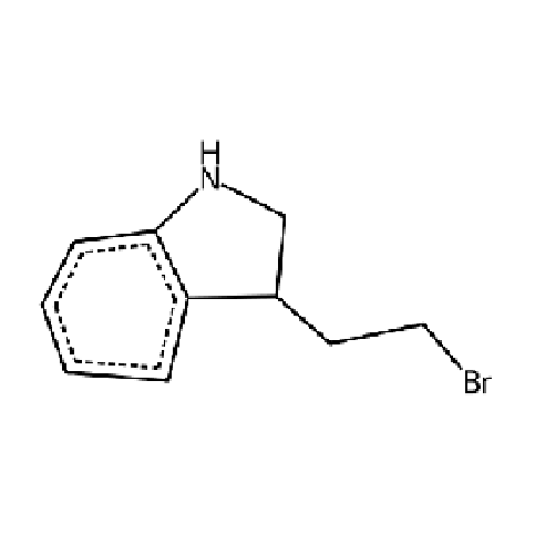 BrCCC1CNc2ccccc21